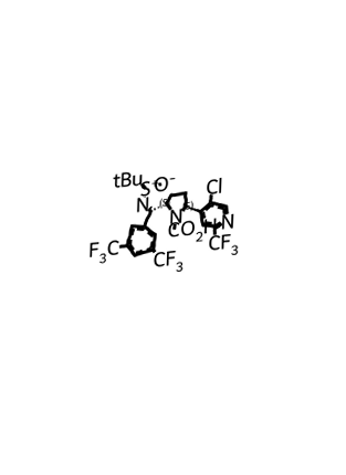 CC(C)(C)[S+]([O-])N=C(c1cc(C(F)(F)F)cc(C(F)(F)F)c1)[C@@H]1CC[C@@H](c2cc(C(F)(F)F)ncc2Cl)N1C(=O)O